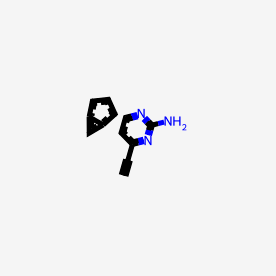 C#Cc1ccnc(N)n1.c1cc2cc-2c1